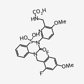 COc1cc(F)c(CN2C(=O)N(c3ccc(OC)c(CNC(=O)O)n3)S(O)(O)c3ccccc32)c(F)c1